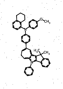 COc1ccc(N(c2ccc(C3=CCC=c4c(c5c(n4-c4ccccc4)-c4ccccc4C5(C)C)=C3)cc2)c2cccc3c2CCCC3)cc1